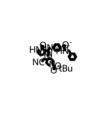 CC(C)(C)OC(=O)N1CCC(CC#N)(n2nc(Nc3ccc([S+]([O-])NCc4ccccc4)cc3)c3c(=O)[nH]ccc32)CC1